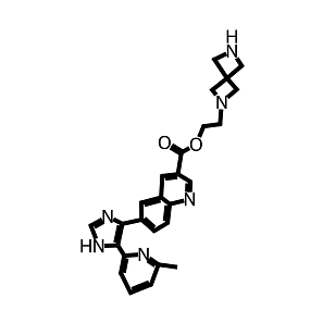 Cc1cccc(-c2[nH]cnc2-c2ccc3ncc(C(=O)OCCN4CC5(CNC5)C4)cc3c2)n1